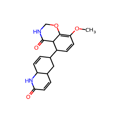 COC1=C2OCNC(=O)C2C(C2C=CC3NC(=O)C=CC3C2)C=C1